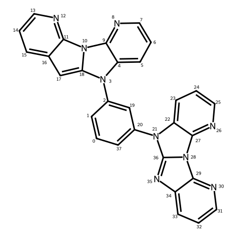 c1cc(-n2c3cccnc3n3c4ncccc4cc23)cc(-n2c3cccnc3n3c4ncccc4nc23)c1